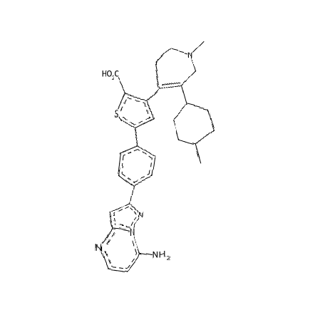 CC1CCC(C2=C(c3cc(-c4ccc(-c5cc6nccc(N)n6n5)cc4)sc3C(=O)O)CCN(C)C2)CC1